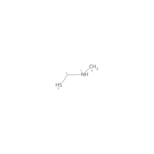 CNCS